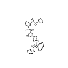 Cc1cccc(C(=O)Nc2cccc([C@H](C)Nc3cncc(N4CCC(O[PH](O)(Oc5ccccc5)c5ccccc5)CC4)n3)c2)c1